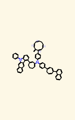 C=C1/C=C\C=C/C/C=C\C=C/1c1ccc(N(C2=CCCCC(c3cccc4c3c3cc5ccccc5cc3n4-c3ccccc3)=C2)c2ccc(C3=CC=C(c4cccc5ccccc45)C=CC3)cc2)cc1